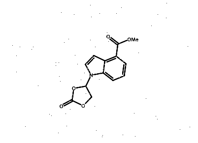 COC(=O)c1cccc2c1ccn2C1COC(=O)O1